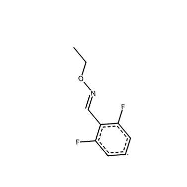 CCON=Cc1c(F)c[c]cc1F